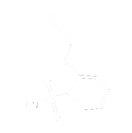 C#CCSc1ccccc1S(N)(=O)=O